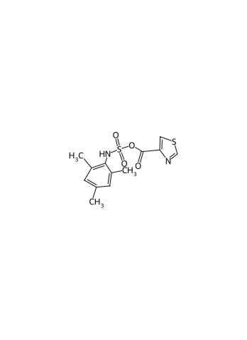 Cc1cc(C)c(NS(=O)(=O)OC(=O)c2cscn2)c(C)c1